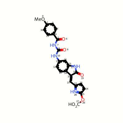 COc1ccc(C(=O)NC(=O)Nc2ccc3c(c2)NC(=O)/C3=C\c2ccc(OC(=O)O)[nH]2)cc1